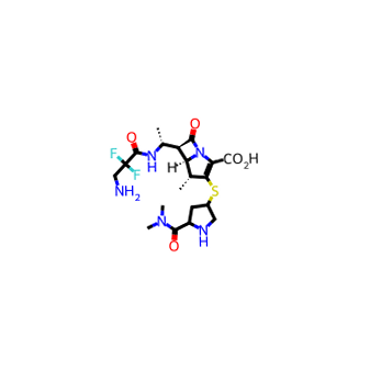 C[C@@H](NC(=O)C(F)(F)CN)[C@H]1C(=O)N2C(C(=O)O)=C(SC3CNC(C(=O)N(C)C)C3)[C@H](C)[C@@H]12